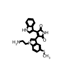 CSc1ccc2c(c1)c(C1=C(c3c[nH]c4ccccc34)C(=O)NC1=O)cn2CCN